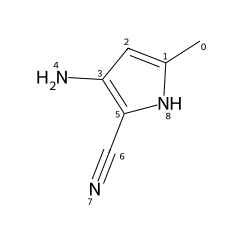 Cc1cc(N)c(C#N)[nH]1